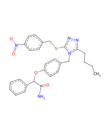 CCCCc1nnc(SCc2ccc([N+](=O)[O-])cc2)n1Cc1ccc(OC(C(N)=O)c2ccccc2)cc1